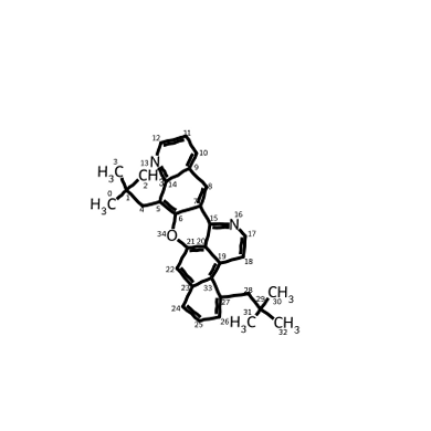 CC(C)(C)Cc1c2c(cc3cccnc13)-c1nccc3c1c(cc1cccc(CC(C)(C)C)c13)O2